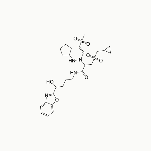 CS(=O)(=O)C=CN(NC1CCCC1)C(CS(=O)(=O)CC1CC1)C(=O)NCCCC(O)c1nc2ccccc2o1